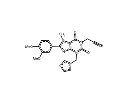 C#CCn1c(=O)c2c(nc(-c3ccc(OC)c(OC)c3)n2C)n(Cc2ccsc2)c1=O